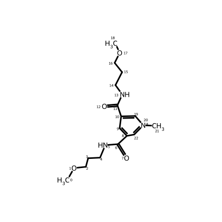 COCCCNC(=O)c1cc(C(=O)NCCCOC)c[n+](C)c1